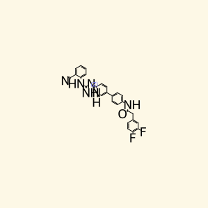 N#Cc1ccccc1NC(=N)/N=c1/ccc(-c2ccc(NC(=O)Cc3ccc(F)c(F)c3)cc2)c[nH]1